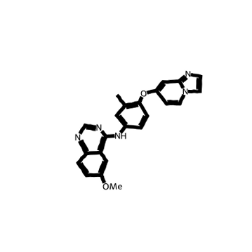 COc1ccc2ncnc(Nc3ccc(Oc4ccn5ccnc5c4)c(C)c3)c2c1